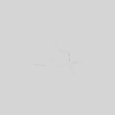 CC1=C(C)S(=O)(=O)C2=C1C(C)C2